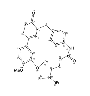 COc1ccc(C2=NN(Cc3ccc(NC(=O)OCCN(C(C)C)C(C)C)cc3)C(=O)SC2)cc1OC(C)C